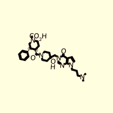 CN(C)CCCn1ccc2c(=O)n(CC3(O)CCN(C(=O)[C@@H]4CCN(C(=O)O)C[C@H]4c4ccccc4)CC3)cnc21